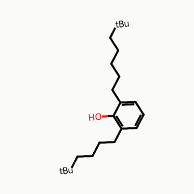 CC(C)(C)CCCCCc1cccc(CCCCC(C)(C)C)c1O